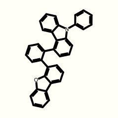 c1ccc(-n2c3ccccc3c3c(-c4ccccc4-c4cccc5c4oc4ccccc45)cccc32)cc1